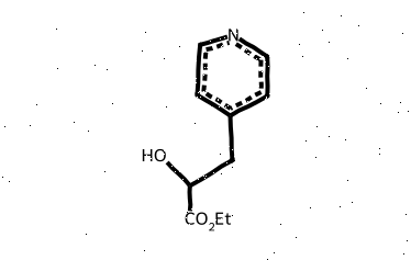 CCOC(=O)C(O)Cc1ccncc1